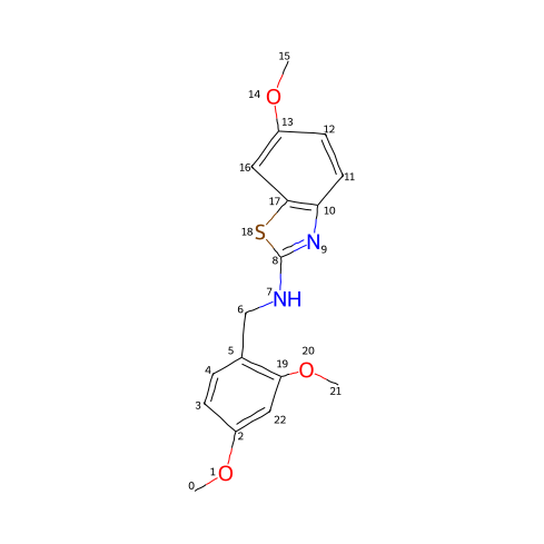 COc1ccc(CNc2nc3ccc(OC)cc3s2)c(OC)c1